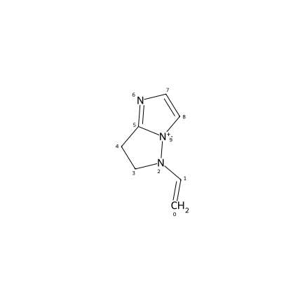 C=CN1CCC2=NC=C[N+]21